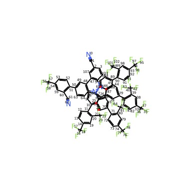 N#Cc1ccc(-n2c3ccc(-c4ccc(C(F)(F)F)cc4C(F)(F)F)cc3c3cc(-c4ccc(C(F)(F)F)cc4C(F)(F)F)ccc32)c(-c2cc(-c3ccc(C(F)(F)F)cc3C#N)ccc2-n2c3ccc(-c4ccc(C(F)(F)F)cc4C(F)(F)F)cc3c3cc(-c4ccc(C(F)(F)F)cc4C(F)(F)F)ccc32)c1